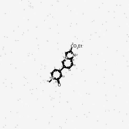 CCOC(=O)c1cn2cc(-c3ccn(C)c(=O)c3)ccc2n1